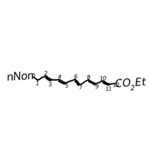 CCCCCCCCCC/C=C/C=C/C=C/C=C/C=C/C(=O)OCC